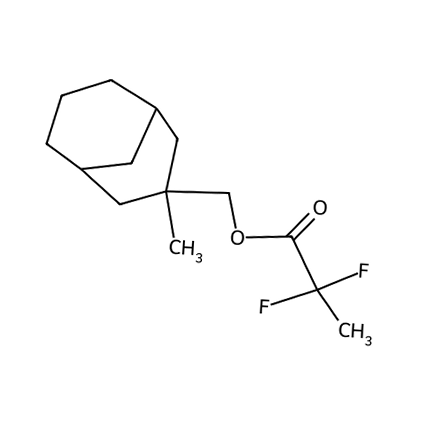 CC1(COC(=O)C(C)(F)F)CC2CCCC(C2)C1